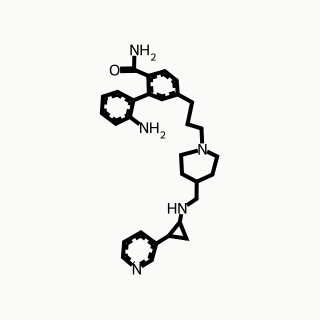 NC(=O)c1ccc(CCCN2CCC(CNC3CC3c3cccnc3)CC2)cc1-c1ccccc1N